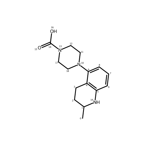 CC1CCc2c(cccc2N2CCN(C(=O)O)CC2)N1